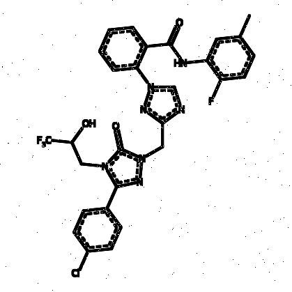 Cc1ccc(F)c(NC(=O)c2ccccc2-n2cnc(Cn3nc(-c4ccc(Cl)cc4)n(CC(O)C(F)(F)F)c3=O)n2)c1